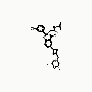 CC(C)NC(=O)Cn1c(-c2cccc(Cl)c2)nc2ccc(C3CC(CN4C[C@@H](C)O[C@@H](C)C4)C3)cc2c1=O